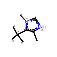 Cc1[nH]c[n+](C)c1C(C)(C)C